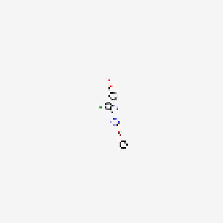 CCOC(=O)C[C@H]1CC[C@H](CN(CC)c2ccc(C(F)(F)F)cc2CNc2ncc(OCCOc3ccccc3)cn2)CC1